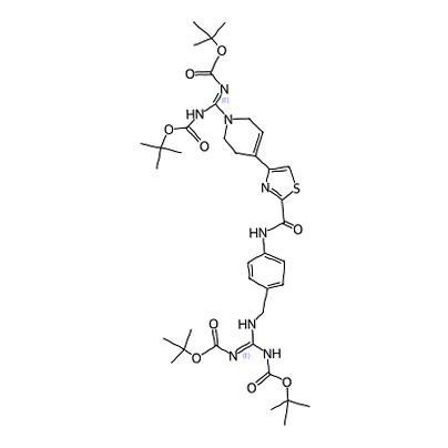 CC(C)(C)OC(=O)/N=C(\NCc1ccc(NC(=O)c2nc(C3=CCN(/C(=N/C(=O)OC(C)(C)C)NC(=O)OC(C)(C)C)CC3)cs2)cc1)NC(=O)OC(C)(C)C